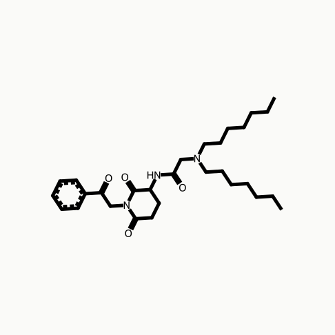 CCCCCCCN(CCCCCCC)CC(=O)NC1CCC(=O)N(CC(=O)c2ccccc2)C1=O